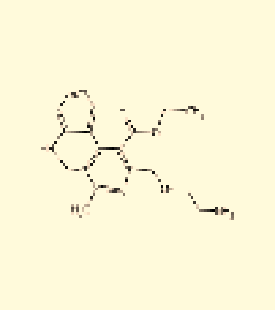 CCOC(=O)c1c(COCCN)nc(C)c2c1-c1ccccc1NC2